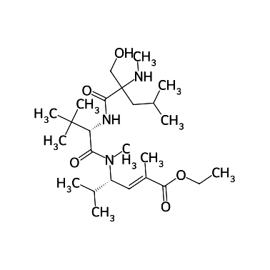 CCOC(=O)/C(C)=C/[C@H](C(C)C)N(C)C(=O)[C@@H](NC(=O)C(CO)(CC(C)C)NC)C(C)(C)C